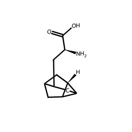 N[C@@H](CC1CC2C3CC1C[C@@H]32)C(=O)O